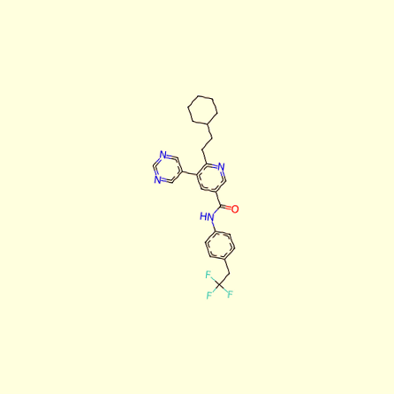 O=C(Nc1ccc(CC(F)(F)F)cc1)c1cnc(CCC2CCCCC2)c(-c2cncnc2)c1